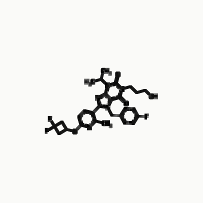 Cc1nc(OC2CC(F)(F)C2)ccc1-c1nc2c(c(=O)n(CCCO)c(=O)n2C(C)C)n1Cc1ccc(F)cc1